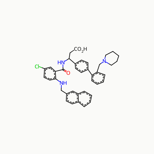 O=C(O)CC(NC(=O)c1cc(Cl)ccc1NCc1ccc2ccccc2c1)c1ccc(-c2ccccc2CN2CCCCC2)cc1